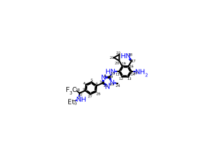 CCNC(c1ccc(-c2nc(Nc3ccc(N)c(C=N)c3C3CC3)n(C)n2)cc1)C(F)(F)F